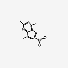 Cc1cc(C)c2cc([N+](=O)[O-])cc(C)c2n1